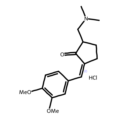 COc1ccc(/C=C2/CCC(CN(C)C)C2=O)cc1OC.Cl